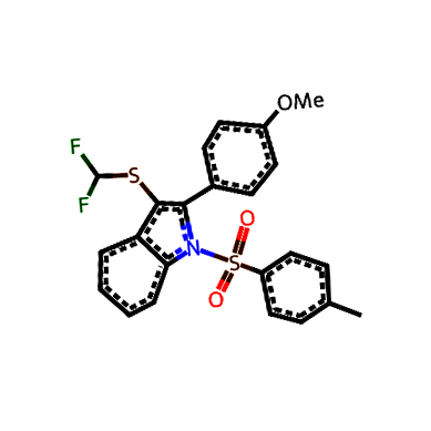 COc1ccc(-c2c(SC(F)F)c3ccccc3n2S(=O)(=O)c2ccc(C)cc2)cc1